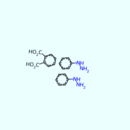 NNc1ccccc1.NNc1ccccc1.O=C(O)c1ccccc1C(=O)O